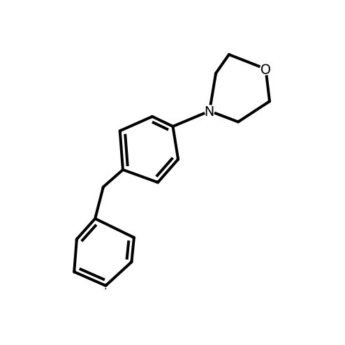 [c]1ccc(Cc2ccc(N3CCOCC3)cc2)cc1